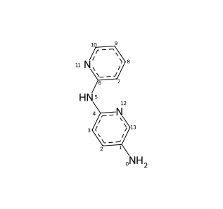 Nc1ccc(Nc2ccccn2)nc1